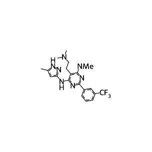 CNc1nc(-c2cccc(C(F)(F)F)c2)nc(Nc2cc(C)[nH]n2)c1CCN(C)C